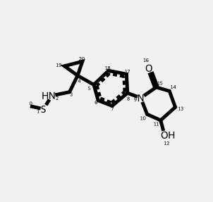 CSNCC1(c2ccc(N3CC(O)CCC3=O)cc2)CC1